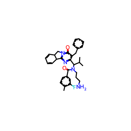 Cc1ccc(C(=O)N(CCCN)C(c2nc3n(c(=O)c2Cc2ccccc2)CC2C=CC=CC32)C(C)C)cc1F